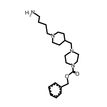 NCCCCN1CCC(CN2CCN(C(=O)OCc3ccccc3)CC2)CC1